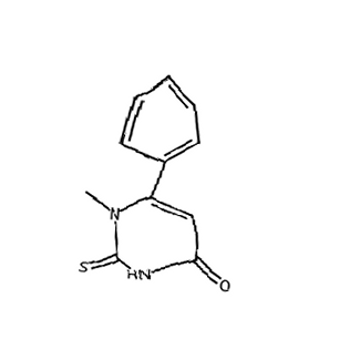 Cn1c(-c2ccccc2)cc(=O)[nH]c1=S